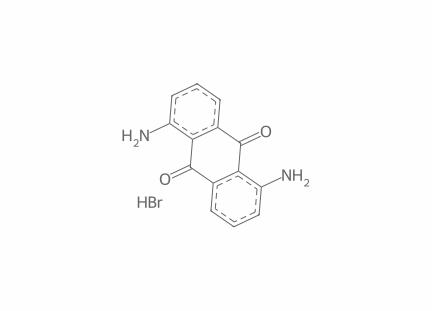 Br.Nc1cccc2c1C(=O)c1cccc(N)c1C2=O